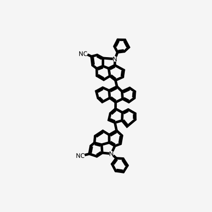 N#Cc1cc2ccc3c(-c4ccc(-c5c6ccccc6c(-c6ccc7c8c6ccc6cc(C#N)cc(c68)n7-c6ccccc6)c6ccccc56)c5ccccc45)ccc4c3c2c(c1)n4-c1ccccc1